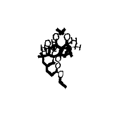 CCO[C@H]1CCC2=C(O1)[C@@]13CO[C@]4(OC(C)(C)O[C@@H]5[C@H]6CC[C@@H]1[C@]54C(=O)C6(C)C)[C@@H](O)[C@@H]3C(C)(C)C2